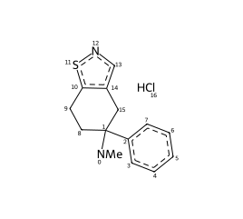 CNC1(c2ccccc2)CCc2sncc2C1.Cl